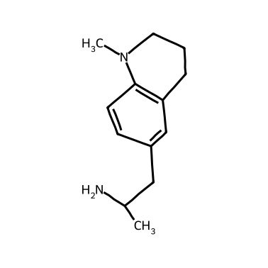 CC(N)Cc1ccc2c(c1)CCCN2C